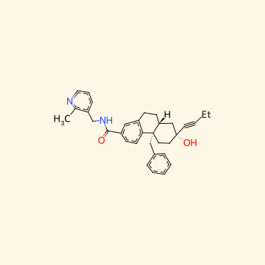 CCC#C[C@@]1(O)CC[C@@]2(Cc3ccccc3)c3ccc(C(=O)NCc4cccnc4C)cc3CC[C@@H]2C1